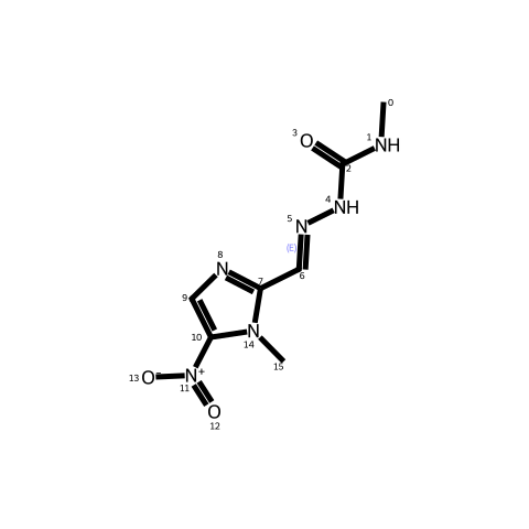 CNC(=O)N/N=C/c1ncc([N+](=O)[O-])n1C